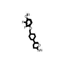 CCCC1CCC(C2CCC(COc3ccc(OCC)c(F)c3F)CC2)=CO1